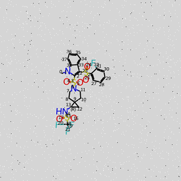 Cn1c(S(=O)(=O)N2CCC3(CC2)C[C@H]3NS(=O)(=O)C(F)(F)F)c(S(=O)(=O)c2ccccc2F)c2ccccc21